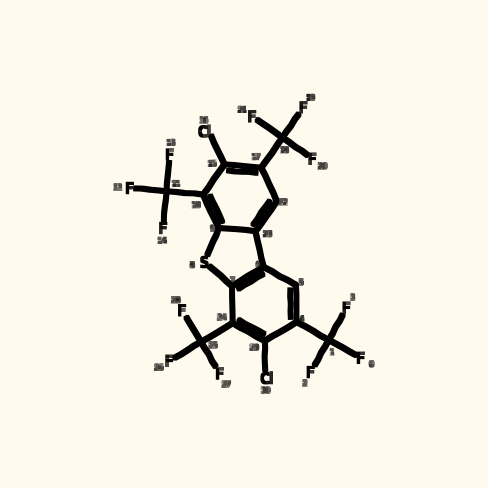 FC(F)(F)c1cc2c(sc3c(C(F)(F)F)c(Cl)c(C(F)(F)F)cc32)c(C(F)(F)F)c1Cl